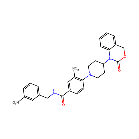 O=C(NCc1cccc([N+](=O)[O-])c1)c1ccc(N2CCC(N3C(=O)OCc4ccccc43)CC2)c([N+](=O)[O-])c1